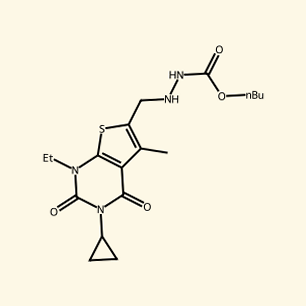 CCCCOC(=O)NNCc1sc2c(c1C)c(=O)n(C1CC1)c(=O)n2CC